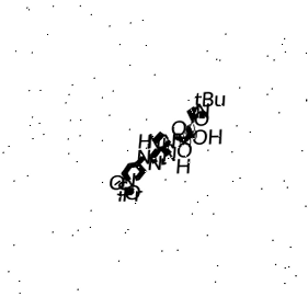 CC(C)S(=O)(=O)N1CCC(Nc2ncnc3c2ncn3[C@@H]2O[C@H](c3cc(C(C)(C)C)no3)[C@@H](O)[C@H]2O)CC1